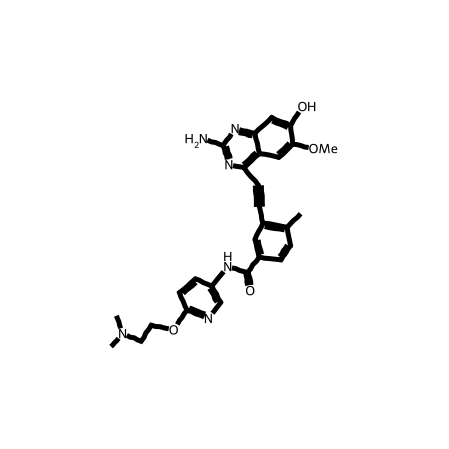 COc1cc2c(C#Cc3cc(C(=O)Nc4ccc(OCCN(C)C)nc4)ccc3C)nc(N)nc2cc1O